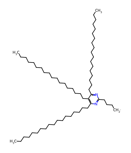 [CH2]CCCc1nc(CCCCCCCCCCCCCCCCCC)c(CCCCCCCCCCCCCCCCCC)c(CCCCCCCCCCCCCCCCCC)n1